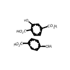 O=C(O)c1ccc(C(=O)O)c(O)c1.O=C(O)c1ccc(O)cc1